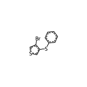 Brc1cscc1Sc1ccccc1